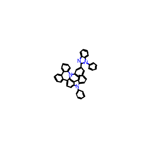 c1ccc(-n2c(-c3cccc(N4c5ccccc5-c5ccccc5-c5ccc6c(c54)c4ccccc4n6-c4ccccc4)c3)nc3ccccc32)cc1